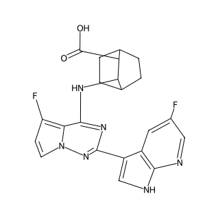 O=C(O)C1C2CCC(CC2)C1Nc1nc(-c2c[nH]c3ncc(F)cc23)nn2ccc(F)c12